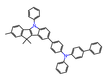 Cc1ccc2c(c1)C(C)(C)c1c-2n(-c2ccccc2)c2ccc(-c3ccc(N(c4ccccc4)c4ccc(-c5ccccc5)cc4)cc3)cc12